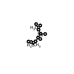 CC1(C)c2ccc(-c3ccc(-c4nc(-c5ccccc5)cc(-c5ccc6c(c5)-c5ccccc5C6(C)c5ccccc5)n4)c4ccccc34)cc2-c2cc3ccccc3cc21